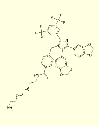 NCCOCCOCCNC(=O)c1ccc(Cn2c(-c3cc(C(F)(F)F)cc(C(F)(F)F)c3)nc(-c3ccc4c(c3)OCO4)c2-c2ccc3c(c2)OCO3)cc1